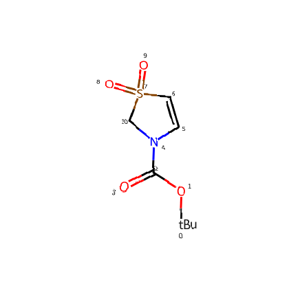 CC(C)(C)OC(=O)N1C=CS(=O)(=O)C1